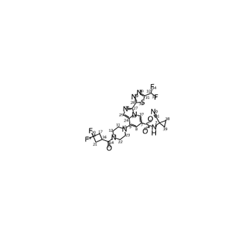 N#CC1(NS(=O)(=O)c2cc(N3CCN(C(=O)C4CC(F)(F)C4)CC3)c3cnc(-c4nnc(C(F)F)s4)n3c2)CC1